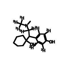 [2H]c1c([2H])c(C(C2(O)CCCCC2)C([2H])([2H])N(C)C([2H])([2H])[2H])c([2H])c([2H])c1O